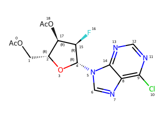 CC(=O)OC[C@H]1O[C@@H](n2cnc3c(Cl)ncnc32)[C@H](F)[C@@H]1OC(C)=O